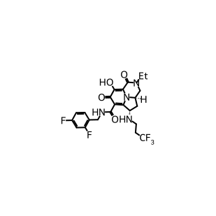 CCN1C[C@H]2C[C@H](NCCC(F)(F)F)c3c(C(=O)NCc4ccc(F)cc4F)c(=O)c(O)c(n32)C1=O